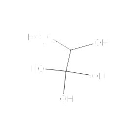 O=C(O)C(O)C(O)(O)O